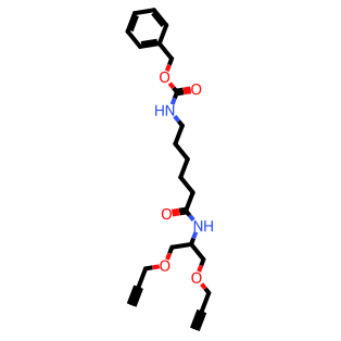 C#CCOCC(COCC#C)NC(=O)CCCCCNC(=O)OCc1ccccc1